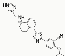 CC(C)Oc1ccc(-c2nnc(-c3cccc4c3CCC[C@H]4NCc3c[nH]cn3)s2)cc1C#N